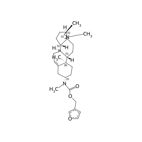 C[C@H]1[C@H]2CC[C@H]3[C@@H]4CC=C5C[C@@H](N(C)C(=O)OCc6ccoc6)CC[C@]5(C)[C@H]4CCC23CN1C